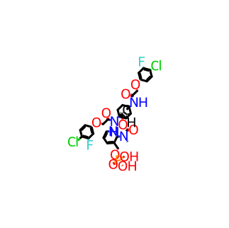 CN(C(=O)O[C@H]1CC2(NC(=O)COc3ccc(Cl)c(F)c3)CCC1(NC(=O)COc1ccc(Cl)c(F)c1)CC2)c1ncccc1COP(=O)(O)O